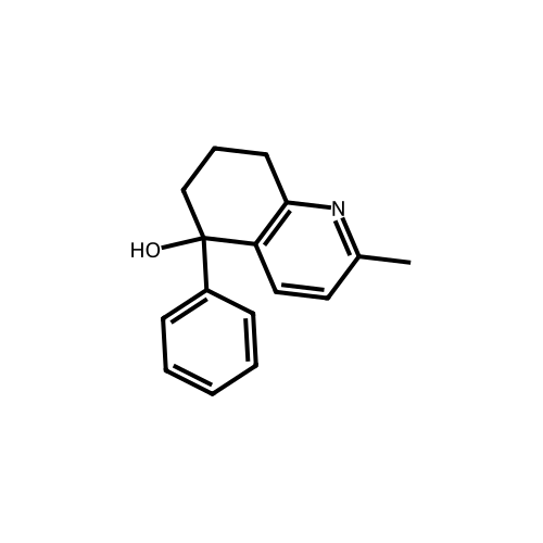 Cc1ccc2c(n1)CCCC2(O)c1ccccc1